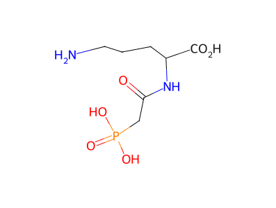 NCCCC(NC(=O)CP(=O)(O)O)C(=O)O